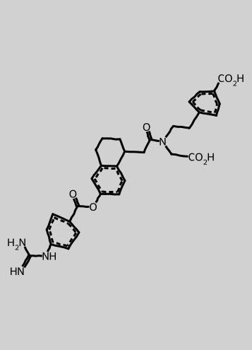 N=C(N)Nc1ccc(C(=O)Oc2ccc3c(c2)CCCC3CC(=O)N(CCc2ccc(C(=O)O)cc2)CC(=O)O)cc1